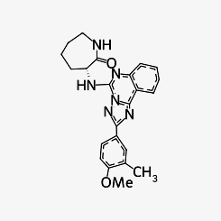 COc1ccc(-c2nc3c4ccccc4nc(N[C@@H]4CCCCNC4=O)n3n2)cc1C